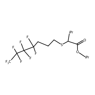 CC(C)OC(=O)C(SCCCC(F)(F)C(F)(F)C(F)(F)C(F)(F)F)C(C)C